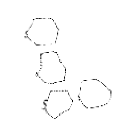 C1CCSCC1.C1CCSCC1.C1CCSCC1.C1CCSCC1